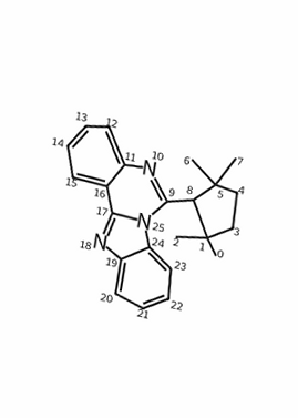 CC1(C)CCC(C)(C)C1c1nc2ccccc2c2nc3ccccc3n12